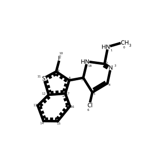 CNC1=NC=C(Cl)C(c2c(F)sc3ccccc23)N1